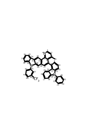 Cc1ccnc2c1c(-c1cccc3c1c1ccccc1n3-c1ccccc1)cc1cc3c(cc12)c1ccccc1n3-c1cccc(C(F)(F)F)c1